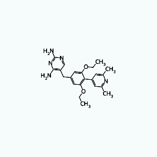 CCOc1cc(Cc2cnc(N)nc2N)cc(OCC)c1-c1cc(C)nc(C)c1